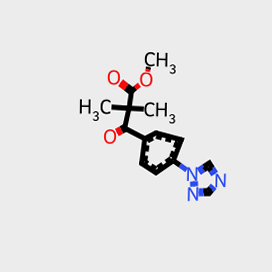 COC(=O)C(C)(C)C(=O)c1ccc(-n2cncn2)cc1